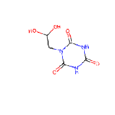 O=c1[nH]c(=O)n(CC(O)O)c(=O)[nH]1